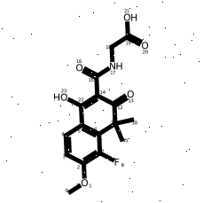 COc1ccc2c(c1F)C(C)(C)C(=O)C(C(=O)NCC(=O)O)=C2O